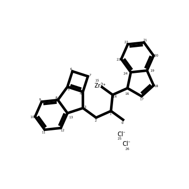 CC(CC1C2=C(CC2)c2ccccc21)[CH]([Zr+2])C1C=Cc2ccccc21.[Cl-].[Cl-]